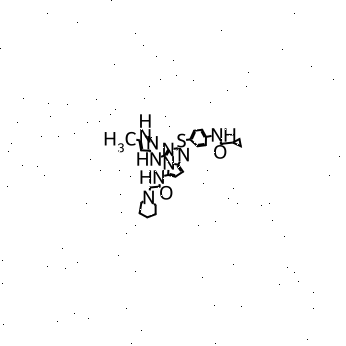 Cc1cc(Nc2nc(Sc3ccc(NC(=O)C4CC4)cc3)nc3ccc(NC(=O)CN4CCCCC4)n23)n[nH]1